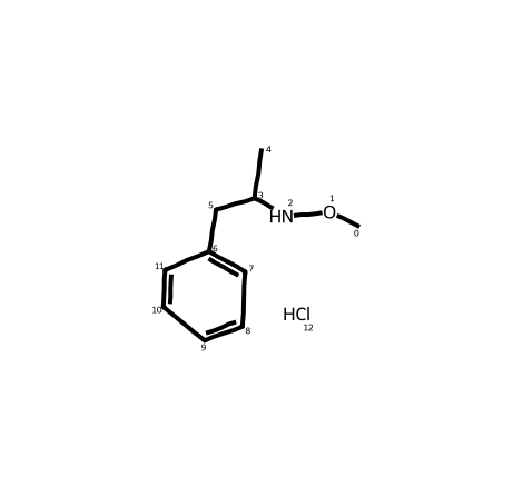 CONC(C)Cc1ccccc1.Cl